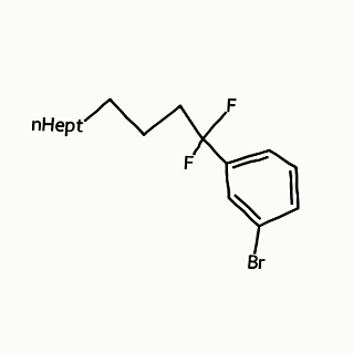 CCCCCCCCCCC(F)(F)c1cccc(Br)c1